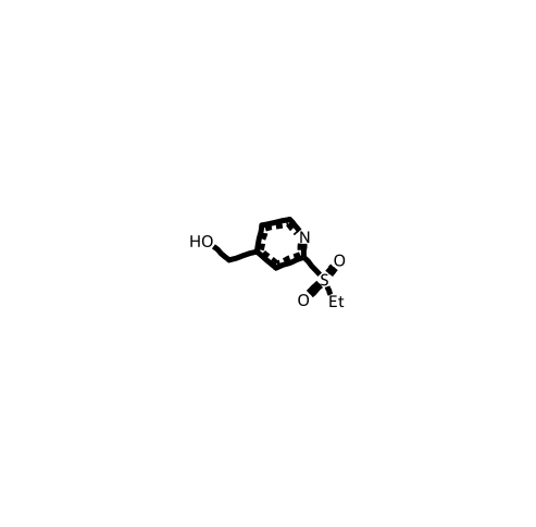 CCS(=O)(=O)c1cc(CO)ccn1